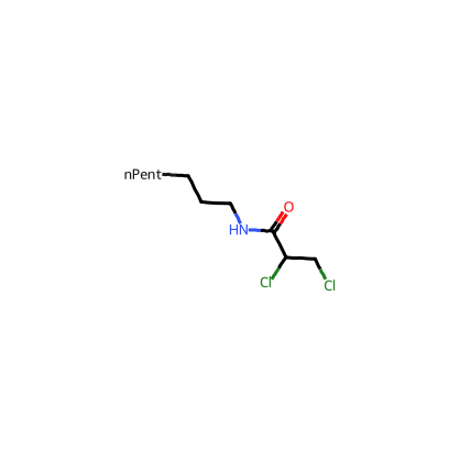 CCCCCCCCNC(=O)C(Cl)CCl